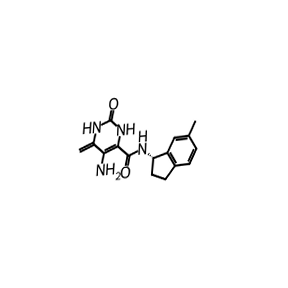 C=C1NC(=O)NC(C(=O)N[C@H]2CCc3ccc(C)cc32)=C1N